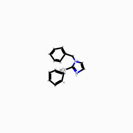 Cc1nccn1Cc1ccccc1.c1ccccc1